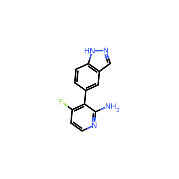 Nc1nccc(F)c1-c1ccc2[nH]ncc2c1